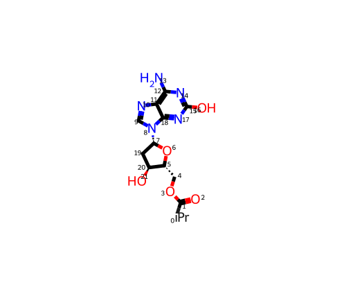 CC(C)C(=O)OC[C@H]1O[C@@H](n2cnc3c(N)nc(O)nc32)C[C@@H]1O